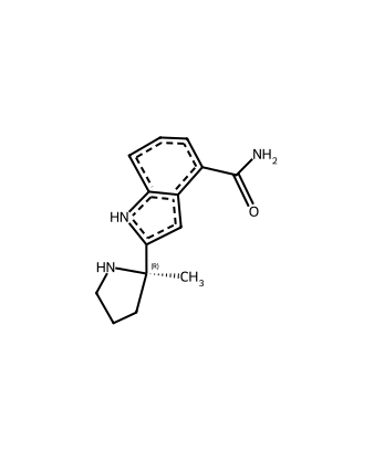 C[C@]1(c2cc3c(C(N)=O)cccc3[nH]2)CCCN1